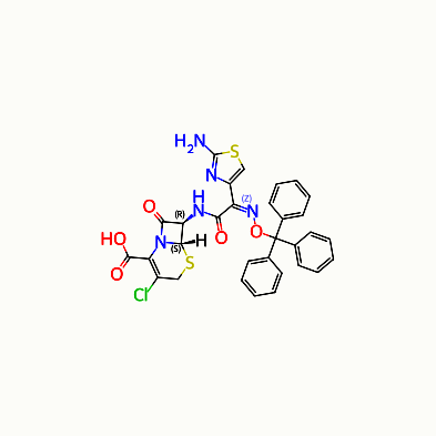 Nc1nc(/C(=N/OC(c2ccccc2)(c2ccccc2)c2ccccc2)C(=O)N[C@@H]2C(=O)N3C(C(=O)O)=C(Cl)CS[C@@H]23)cs1